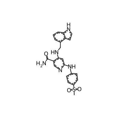 CS(=O)(=O)c1ccc(Nc2cc(NCc3cccc4[nH]ccc34)c(C(N)=O)cn2)cc1